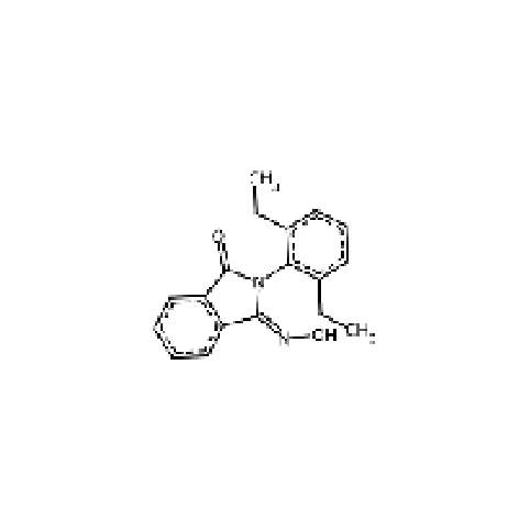 CCc1cccc(CC)c1N1C(=O)c2ccccc2/C1=N/O